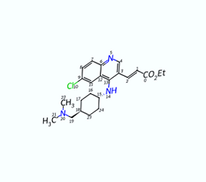 CCOC(=O)/C=C/c1cnc2ccc(Cl)cc2c1N[C@H]1CC[C@H](CN(C)C)CC1